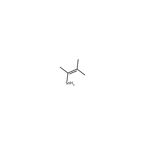 CC(C)=[C](C)[SnH3]